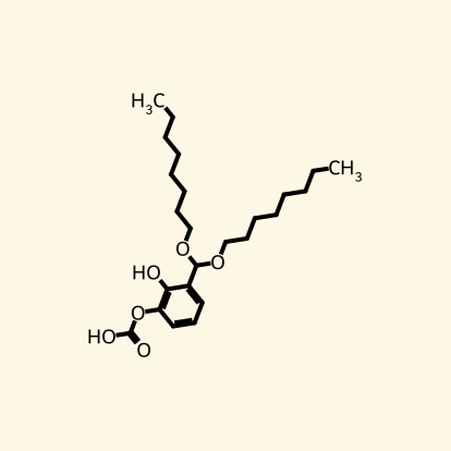 CCCCCCCCOC(OCCCCCCCC)c1cccc(OC(=O)O)c1O